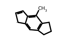 Cc1c2c(cc3c1CCC3)[CH]C=C2